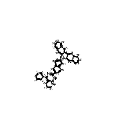 c1ccc(-c2nc(-c3ccc4cc(-n5c6cc7ccccc7cc6c6cc7ccccc7cc65)ccc4c3)nc3ncccc23)cc1